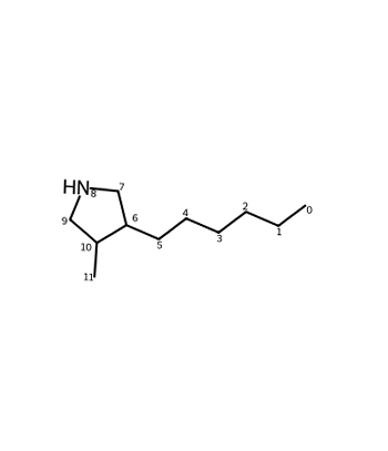 CCCCCCC1CNCC1C